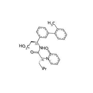 Cc1ccccc1-c1cccc([C@H](CC(=O)O)NC(=O)[C@@H](CC(C)C)n2ccccc2=O)c1